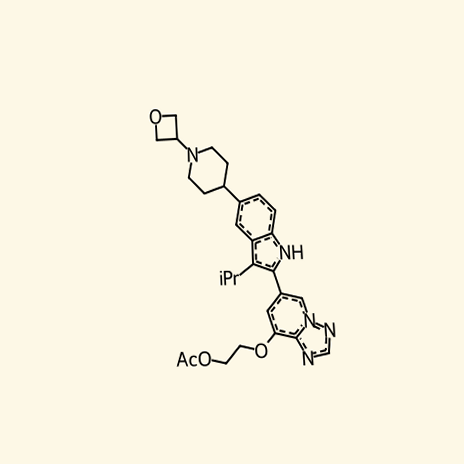 CC(=O)OCCOc1cc(-c2[nH]c3ccc(C4CCN(C5COC5)CC4)cc3c2C(C)C)cn2ncnc12